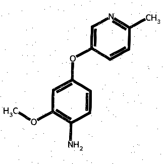 COc1cc(Oc2ccc(C)nc2)ccc1N